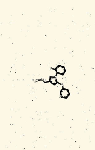 CNCc1cc(Sc2cccnc2)n(-c2ccccc2F)c1